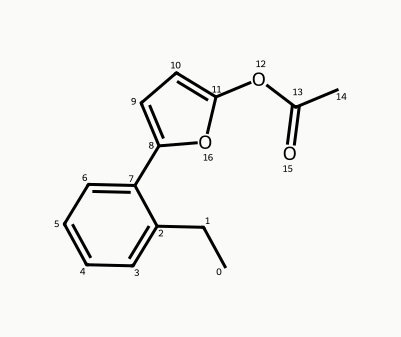 CCc1ccccc1-c1ccc(OC(C)=O)o1